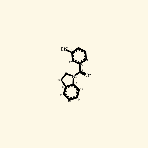 CCc1cccc(C(=O)N2CCc3ccccc32)c1